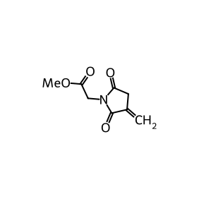 C=C1CC(=O)N(CC(=O)OC)C1=O